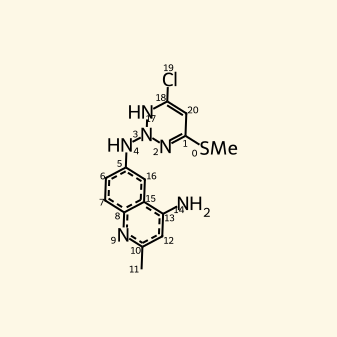 CSC1=NN(Nc2ccc3nc(C)cc(N)c3c2)NC(Cl)=C1